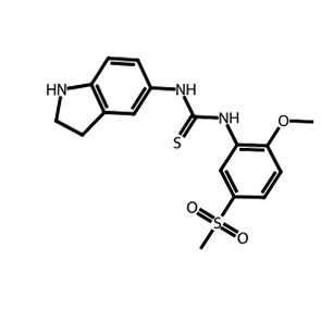 COc1ccc(S(C)(=O)=O)cc1NC(=S)Nc1ccc2c(c1)CCN2